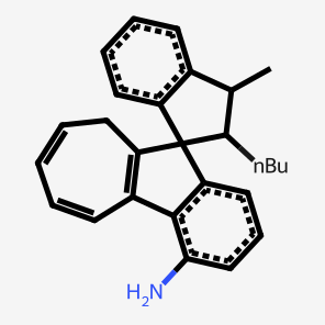 CCCCC1C(C)c2ccccc2C12C1=C(C=CC=CC1)c1c(N)cccc12